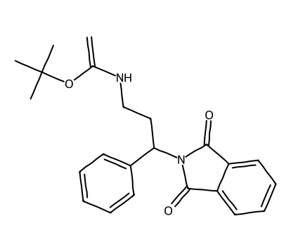 C=C(NCCC(c1ccccc1)N1C(=O)c2ccccc2C1=O)OC(C)(C)C